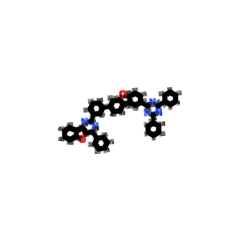 c1ccc(-c2nc(-c3ccccc3)nc(-c3ccc4oc5cc(-c6cccc(-c7nc(-c8ccccc8)c8oc9ccccc9c8n7)c6)ccc5c4c3)n2)cc1